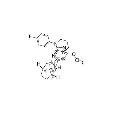 COc1cc(N2C[C@H]3CC[C@@H](C2)[C@@H]3Nc2nc3n(n2)CCCN3c2ccc(F)cc2)ccn1